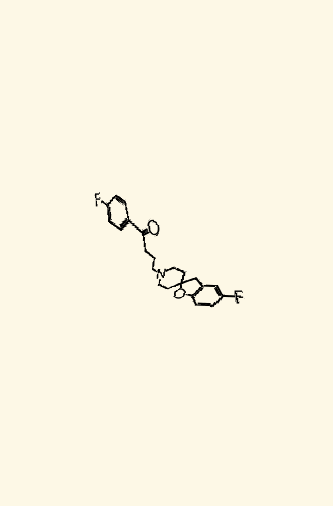 O=C(CCCN1CCC2(CC1)Cc1cc(F)ccc1O2)c1ccc(F)cc1